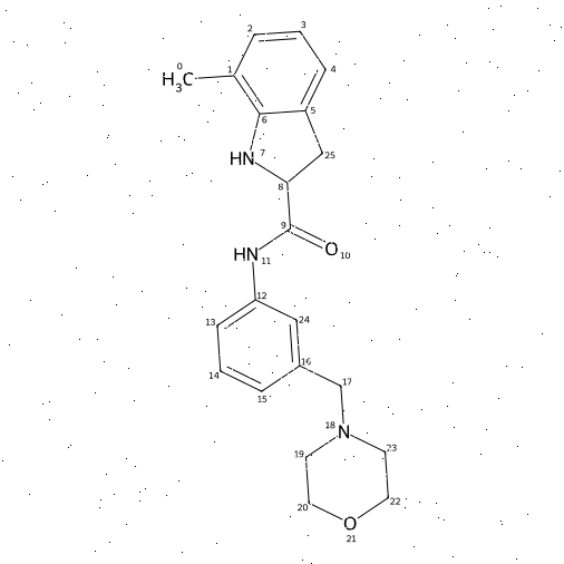 Cc1cccc2c1NC(C(=O)Nc1cccc(CN3CCOCC3)c1)C2